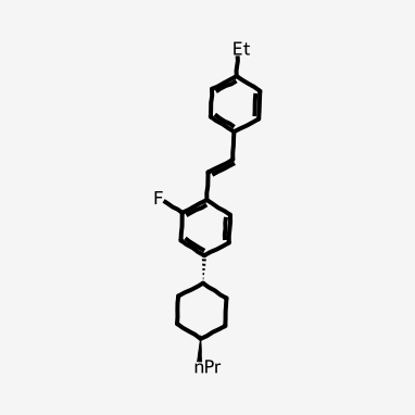 CCC[C@H]1CC[C@H](c2ccc(C=Cc3ccc(CC)cc3)c(F)c2)CC1